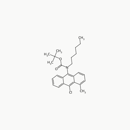 CCCCCCN(C(=O)OC(C)(C)C)c1c2ccccc2c(Cl)c2c(C)cccc12